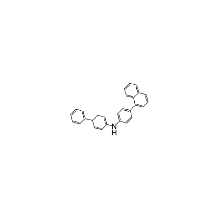 C1=CC(c2ccccc2)CC=C1Nc1ccc(-c2cccc3ccccc23)cc1